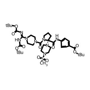 CC(C)(C)OC(=O)N=C(NC(=O)OC(C)(C)C)N1CCN(C(=O)N2CCC[C@]2(C(=O)Nc2ccc(C(=O)OC(C)(C)C)cc2)N2CCN(S(C)(=O)=O)CC2)CC1